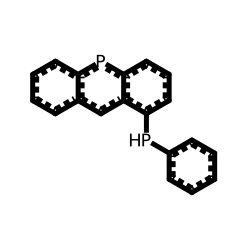 c1ccc(Pc2cccc3pc4ccccc4cc23)cc1